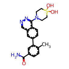 Cc1ccc(C(N)=O)cc1-c1ccc2c(N3CCS(O)(O)CC3)nncc2c1